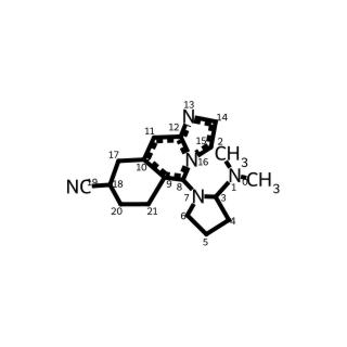 CN(C)C1CCCN1c1c2c(cc3nccn13)CC(C#N)CC2